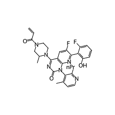 C=CC(=O)N1CCN(c2nc(=O)n(-c3c(C)ccnc3CCC)c3nc(-c4c(O)cccc4F)c(F)cc23)C(C)C1